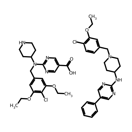 CCOc1cc(CN(c2ncc(C(=O)O)cn2)C2CCNCC2)cc(OCC)c1Cl.CCOc1cc(CN2CCC(Nc3ncc(-c4ccccc4)cn3)CC2)ccc1Cl